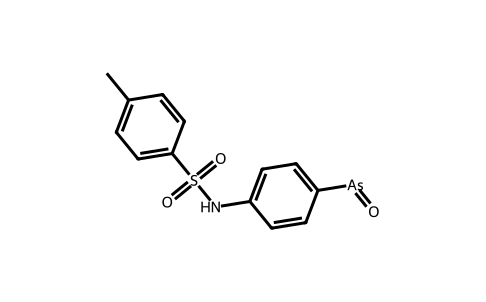 Cc1ccc(S(=O)(=O)Nc2ccc([As]=O)cc2)cc1